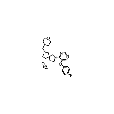 C1C2OC12.Fc1ccc(Oc2cncnc2N2CCC3(CCN(CC4CCOCC4)C3)C2)cc1